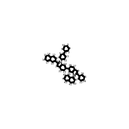 c1ccc(-c2ccc(-n3c(-c4ccc5ccccc5c4)cc4ccc(-c5ccc6cc(-c7ccccc7)n(-c7cccc8ccccc78)c6c5)cc43)cc2)cc1